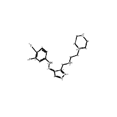 Fc1ccc(N/N=C2/[C]=NN=C2CNCCN2CCOCC2)cc1F